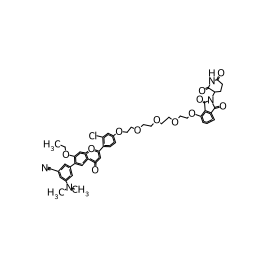 CCOc1cc2oc(-c3ccc(OCCOCCOCCOCCOc4cccc5c4C(=O)N(C4CCC(=O)NC4=O)C5=O)cc3Cl)cc(=O)c2cc1-c1cc(C#N)cc(N(C)C)c1